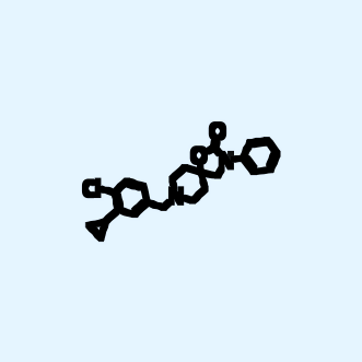 O=C1OC2(CCN(Cc3ccc(Cl)c(C4CC4)c3)CC2)CN1c1ccccc1